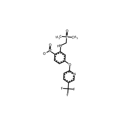 CP(C)(=O)CNc1cc(Oc2ccc(C(F)(F)F)cn2)ccc1[N+](=O)[O-]